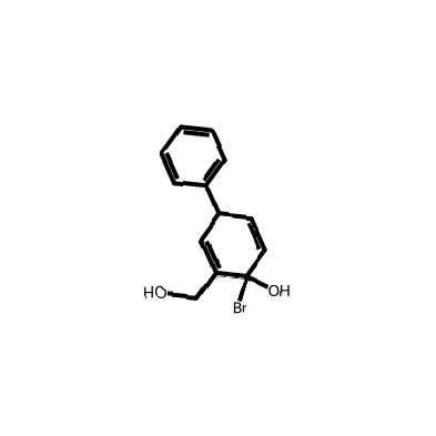 OCC1=CC(c2ccccc2)C=CC1(O)Br